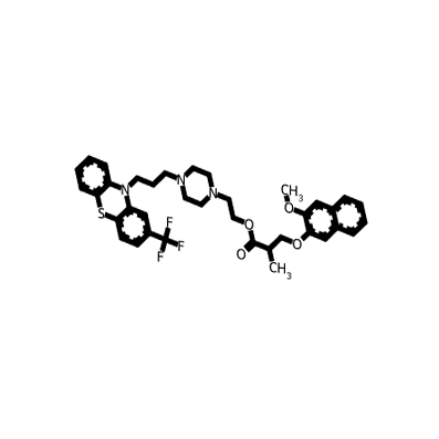 COc1cc2ccccc2cc1OCC(C)C(=O)OCCN1CCN(CCCN2c3ccccc3Sc3ccc(C(F)(F)F)cc32)CC1